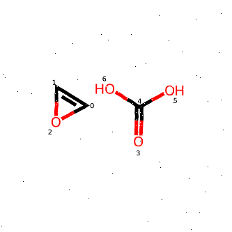 C1=CO1.O=C(O)O